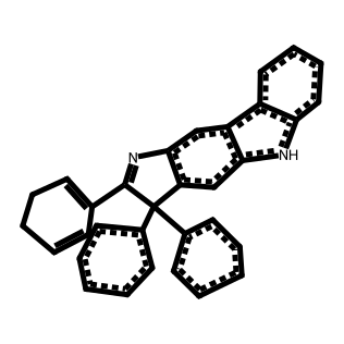 C1=CC(C2=Nc3cc4c(cc3C2(c2ccccc2)c2ccccc2)[nH]c2ccccc24)=CCC1